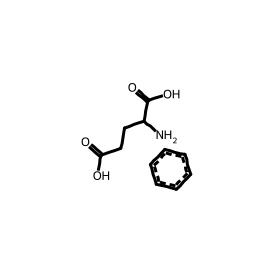 NC(CCC(=O)O)C(=O)O.c1ccccc1